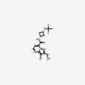 O=C(N[C@H]1C[C@@H](OC(F)(F)F)C1)c1ccnc2c(Br)c(CO)nn12